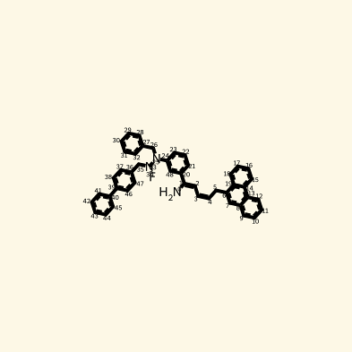 N/C(=C\C=C/Cc1cc2ccccc2c2ccccc12)c1cccc(N(Cc2ccccc2)N(F)Cc2ccc(-c3ccccc3)cc2)c1